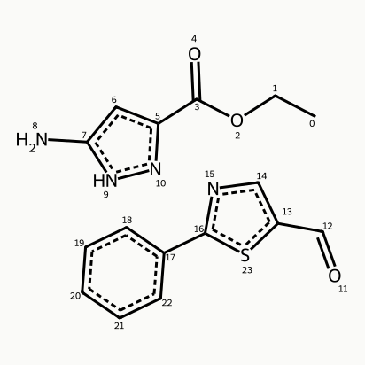 CCOC(=O)c1cc(N)[nH]n1.O=Cc1cnc(-c2ccccc2)s1